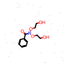 O=C(c1ccccc1)N(OCCO)OCCO